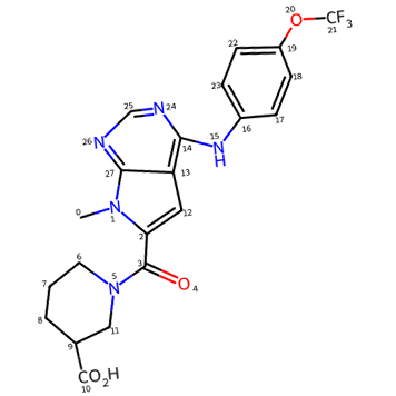 Cn1c(C(=O)N2CCCC(C(=O)O)C2)cc2c(Nc3ccc(OC(F)(F)F)cc3)ncnc21